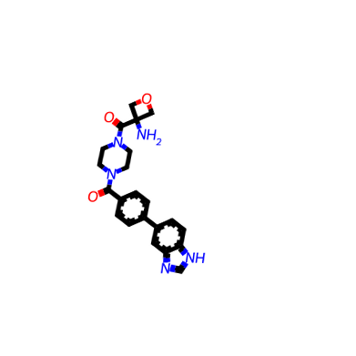 NC1(C(=O)N2CCN(C(=O)c3ccc(-c4ccc5[nH]cnc5c4)cc3)CC2)COC1